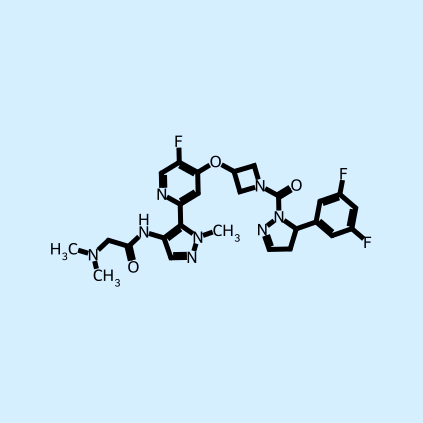 CN(C)CC(=O)Nc1cnn(C)c1-c1cc(OC2CN(C(=O)N3N=CCC3c3cc(F)cc(F)c3)C2)c(F)cn1